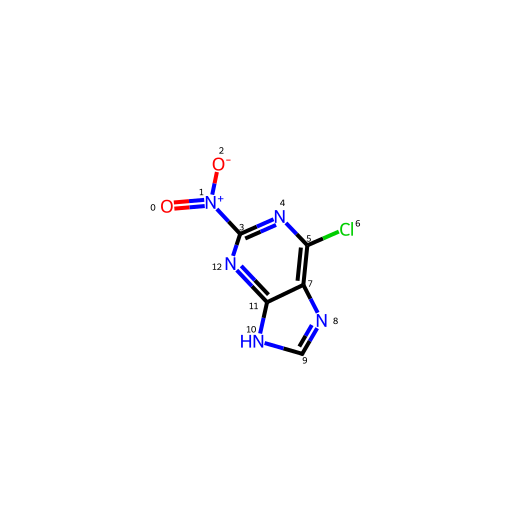 O=[N+]([O-])c1nc(Cl)c2nc[nH]c2n1